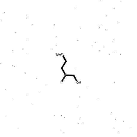 COCCC(C)CO